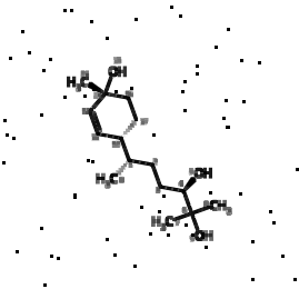 C[C@@H](CC[C@@H](O)C(C)(C)O)[C@@H]1C=C[C@](C)(O)CC1